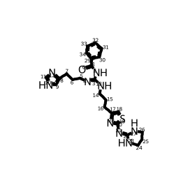 O=C(NC(=NCCCc1c[nH]cn1)NCCCc1csc(N=C2NCCCN2)n1)c1ccccc1